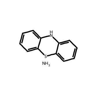 N.c1ccc2c(c1)Nc1ccccc1S2